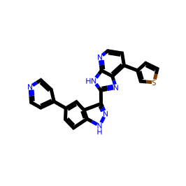 c1cc(-c2ccc3[nH]nc(-c4nc5c(-c6ccsc6)ccnc5[nH]4)c3c2)ccn1